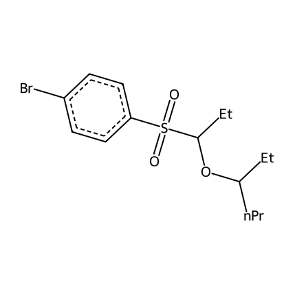 CCCC(CC)OC(CC)S(=O)(=O)c1ccc(Br)cc1